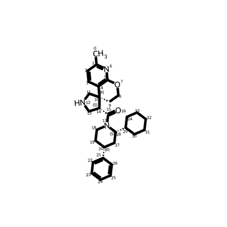 Cc1ccc2c(n1)OCC[C@]21CNC[C@H]1C(=O)N1CC[C@@H](c2ccccc2)C[C@H]1C1CCCCC1